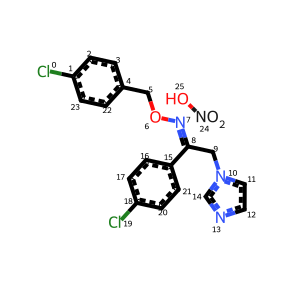 Clc1ccc(CON=C(Cn2ccnc2)c2ccc(Cl)cc2)cc1.O=[N+]([O-])O